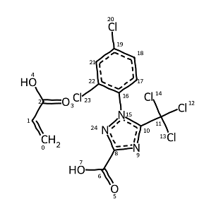 C=CC(=O)O.O=C(O)c1nc(C(Cl)(Cl)Cl)n(-c2ccc(Cl)cc2Cl)n1